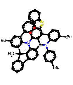 CC(C)(C)c1ccc(N2B3c4ccc5c(c4N(c4ccc(C(C)(C)C)cc4-c4ccccc4)c4cc6c(sc7ccccc76)c(c43)-c3ccc(C(C)(C)C)cc32)C(C)(C)c2ccccc2-5)cc1